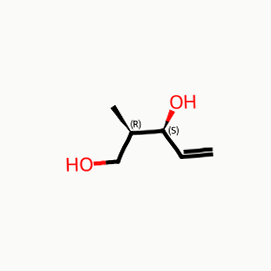 C=C[C@H](O)[C@H](C)CO